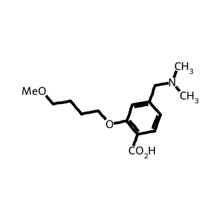 COCCCCOc1cc(CN(C)C)ccc1C(=O)O